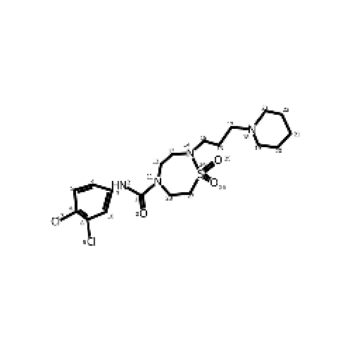 O=C(Nc1ccc(Cl)c(Cl)c1)N1CCN(CCCN2CCCCC2)S(=O)(=O)CC1